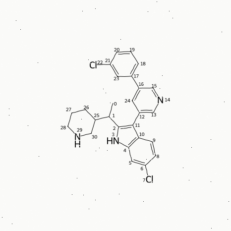 CC(c1[nH]c2cc(Cl)ccc2c1-c1cncc(-c2cccc(Cl)c2)c1)C1CCCNC1